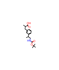 CC(Cc1cccc(C(C)CNC(=O)OC(C)(C)C)c1)C(=O)O